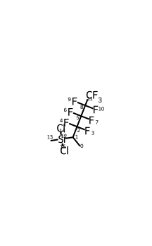 CC(C(F)(F)C(F)(F)C(F)(F)C(F)(F)F)[Si](C)(Cl)Cl